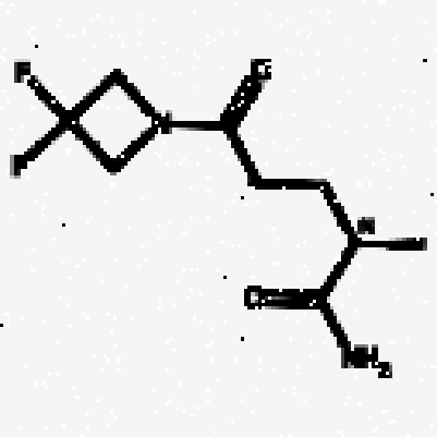 C[C@@H](C[CH]C(=O)N1CC(F)(F)C1)C(N)=O